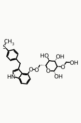 CSc1ccc(Cc2c[nH]c3cccc(OOC[C@H]4O[C@@H](O)[C@H](OCO)[C@@H](O)[C@@H]4O)c23)cc1